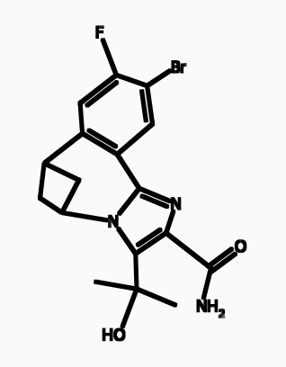 CC(C)(O)c1c(C(N)=O)nc2n1C1CC(C1)c1cc(F)c(Br)cc1-2